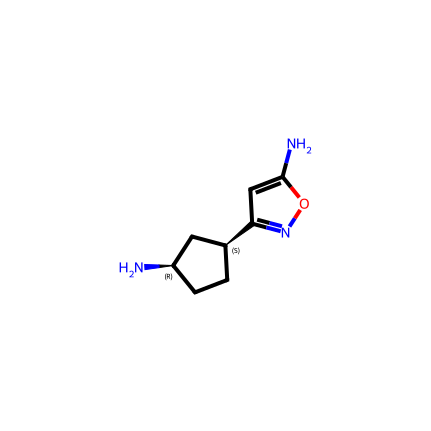 Nc1cc([C@H]2CC[C@@H](N)C2)no1